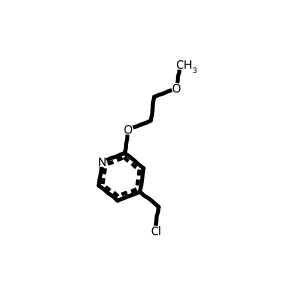 COCCOc1cc(CCl)ccn1